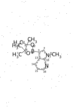 Cn1cc(B2OC(C)(C)C(C)(C)O2)c2cccnc21